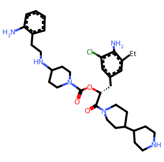 CCc1cc(C[C@@H](OC(=O)N2CCC(NCCc3ccccc3N)CC2)C(=O)N2CCC(C3CCNCC3)CC2)cc(Cl)c1N